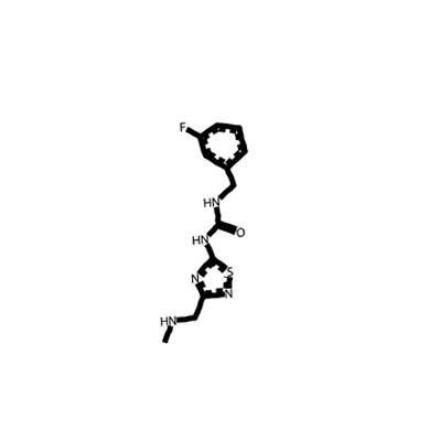 CNCc1nsc(NC(=O)NCc2cccc(F)c2)n1